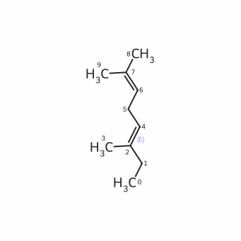 CC/C(C)=C/CC=C(C)C